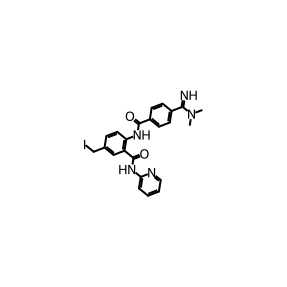 CN(C)C(=N)c1ccc(C(=O)Nc2ccc(CI)cc2C(=O)Nc2ccccn2)cc1